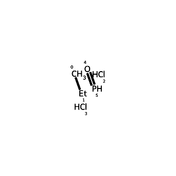 CCC.Cl.Cl.O=P